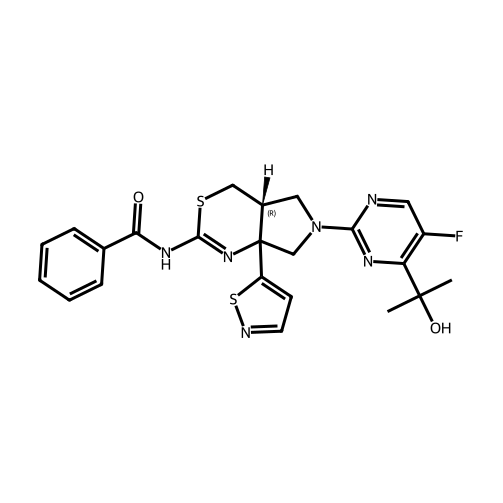 CC(C)(O)c1nc(N2C[C@H]3CSC(NC(=O)c4ccccc4)=NC3(c3ccns3)C2)ncc1F